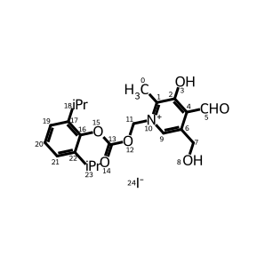 Cc1c(O)c(C=O)c(CO)c[n+]1COC(=O)Oc1c(C(C)C)cccc1C(C)C.[I-]